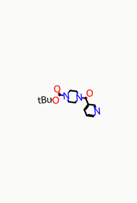 CC(C)(C)OC(=O)N1CCN(C(=O)c2cccnc2)CC1